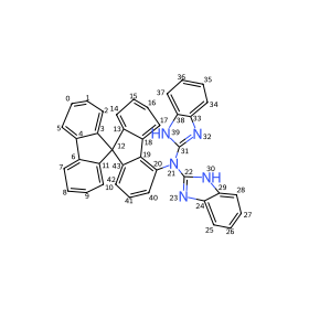 c1ccc2c(c1)-c1ccccc1C21c2ccccc2-c2c(N(c3nc4ccccc4[nH]3)c3nc4ccccc4[nH]3)cccc21